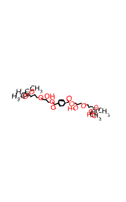 CO[Si](C)(CCCOCC(O)COC(=O)c1ccc(C(=O)OCC(O)COCCC[Si](CO)(OC)OC)cc1)OC